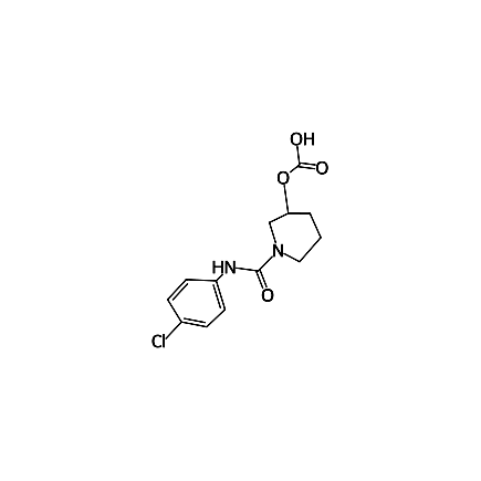 O=C(O)OC1CCCN(C(=O)Nc2ccc(Cl)cc2)C1